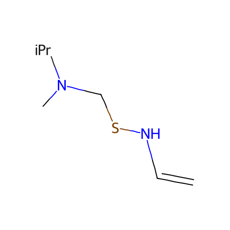 C=CNSCN(C)C(C)C